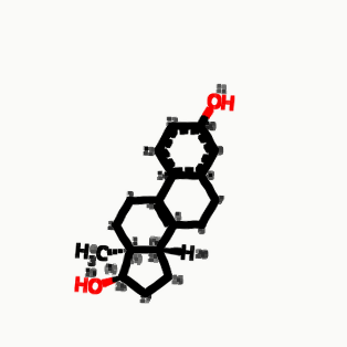 C[C@]12CCC3=C(CCc4cc(O)ccc43)[C@@H]1CC[C@H]2O